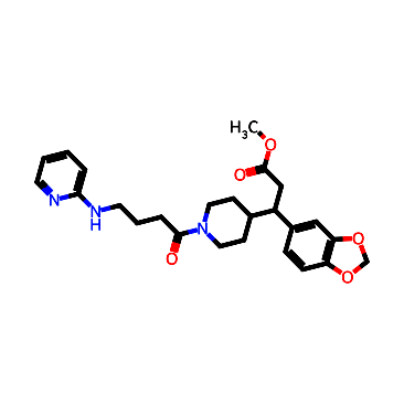 COC(=O)CC(c1ccc2c(c1)OCO2)C1CCN(C(=O)CCCNc2ccccn2)CC1